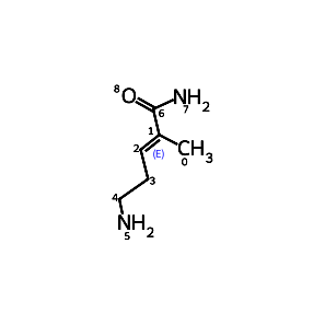 C/C(=C\CCN)C(N)=O